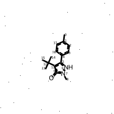 Cc1ccc(-c2[nH]n(C)c(=O)c2C(C)(C)C)cc1